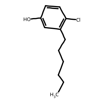 CCCCCCc1cc(O)ccc1Cl